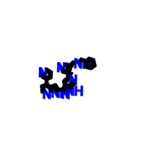 c1ccc(CNCc2cncc(-c3cc4c(-c5cc6c(-c7cccnc7)ccnc6[nH]5)n[nH]c4cn3)c2)cc1